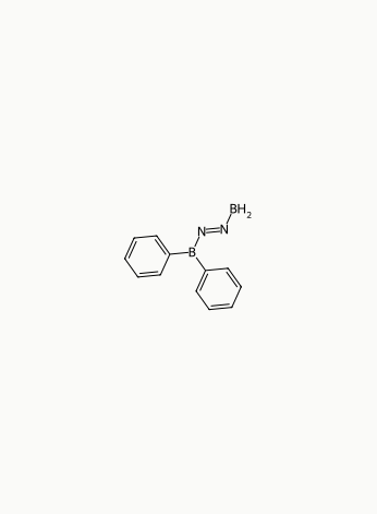 BN=NB(c1ccccc1)c1ccccc1